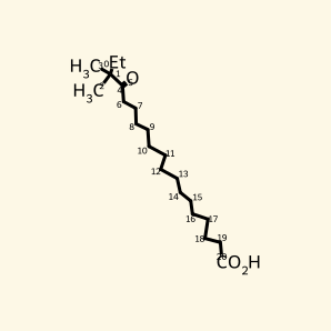 CCC(C)(C)C(=O)CCCCCCCCCCCCCCC(=O)O